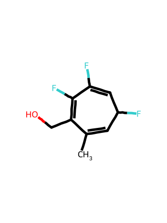 CC1=CC(F)C=C(F)C(F)=C1CO